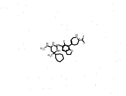 CNC1CC(C)(C2CCCCCC2)NC(Nc2cc3c(c(C4=CCN[C@@H](C(F)F)CC4)c2F)OCC3)N1